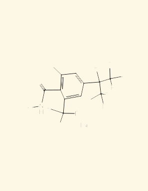 Br.Cc1cc(C(F)(C(F)(F)F)C(F)(F)F)cc(C(F)(F)F)c1C(=O)NO